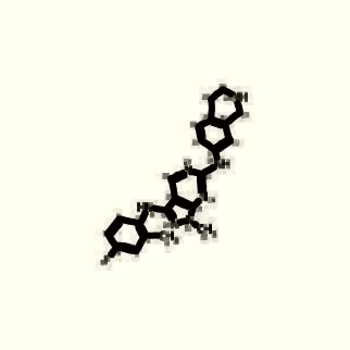 Cc1cc(F)ccc1Nc1nn(C)c2nc(Nc3ccc4c(c3)CNCC4)ncc12